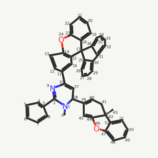 CN1C(c2ccccc2)=NC(c2ccc3c(c2)C2(c4ccccc4O3)c3ccccc3-c3ccccc32)=CC1C1=CC[C@@]2(C)C(=C1)Oc1ccccc12